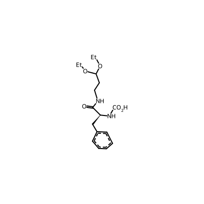 CCOC(CCNC(=O)[C@H](Cc1ccccc1)NC(=O)O)OCC